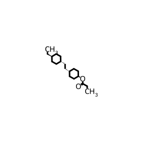 CCC(=O)O[C@H]1CC[C@H](CC[C@H]2CC[C@H](CC)CC2)CC1